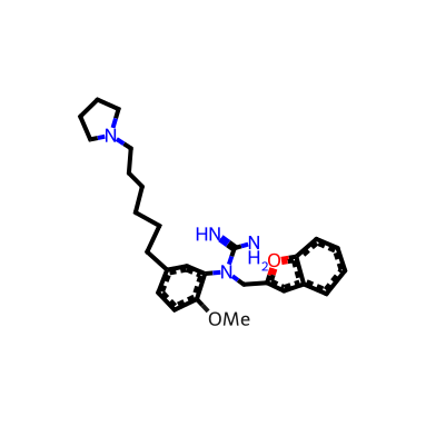 COc1ccc(CCCCCCN2CCCC2)cc1N(Cc1cc2ccccc2o1)C(=N)N